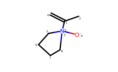 C=C(C)[N+]1([O-])CCCC1